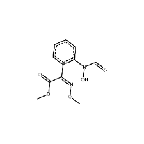 CON=C(C(=O)OC)c1ccccc1N(O)C=O